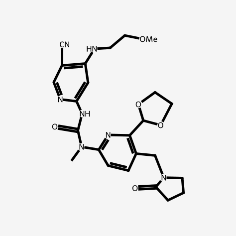 COCCNc1cc(NC(=O)N(C)c2ccc(CN3CCCC3=O)c(C3OCCO3)n2)ncc1C#N